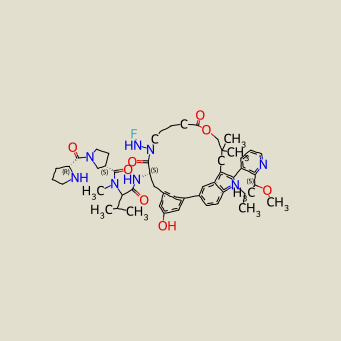 CCn1c(-c2cccnc2[C@H](C)OC)c2c3cc(ccc31)-c1cc(O)cc(c1)C[C@H](NC(=O)C(C(C)C)N(C)C(=O)[C@H]1CCN(C(=O)[C@H]3CCCN3)C1)C(=O)N(NF)CCCCC(=O)OCC(C)(C)C2